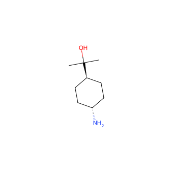 CC(C)(O)[C@H]1CC[C@H](N)CC1